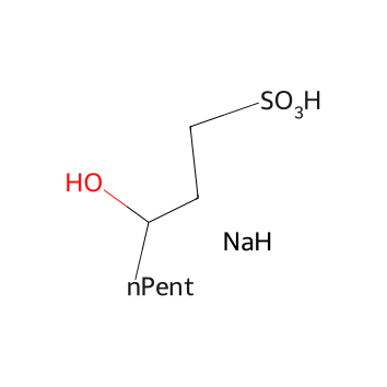 CCCCCC(O)CCS(=O)(=O)O.[NaH]